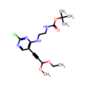 CCOC(C#Cc1cnc(Cl)nc1NCCNC(=O)OC(C)(C)C)OC